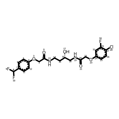 O=C(COc1ccc(C(F)F)cc1)NCC[C@H](O)CNC(=O)COc1ccc(Cl)c(F)c1